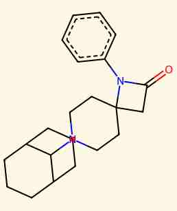 O=C1CC2(CCN(C3C4CCCC3CCC4)CC2)N1c1ccccc1